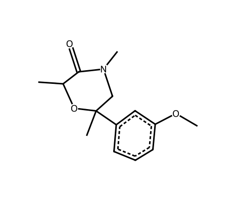 COc1cccc(C2(C)CN(C)C(=O)C(C)O2)c1